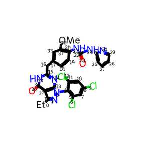 CCc1nn(-c2c(Cl)cc(Cl)cc2Cl)c2nc(Cc3ccc(NC(=O)Nc4ccccn4)c(OC)c3)[nH]c(=O)c12